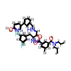 CCCN(CCC)C(=O)c1cc(C)cc(C(=O)OC(CNCc2cccc(-c3ccc(OC)nc3)c2)C(N)Cc2cc(F)cc(F)c2)c1